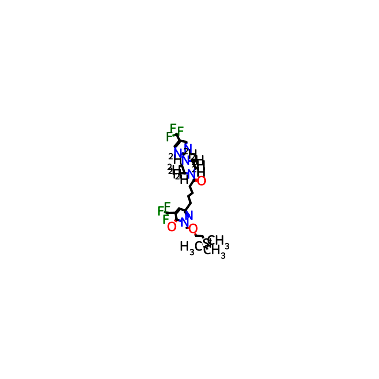 [2H]C1([2H])N(C(=O)CCCCc2cc(C(F)(F)F)c(=O)n(COCC[Si](C)(C)C)n2)C([2H])([2H])C([2H])([2H])N(c2ncc(C(F)(F)F)cn2)C1([2H])[2H]